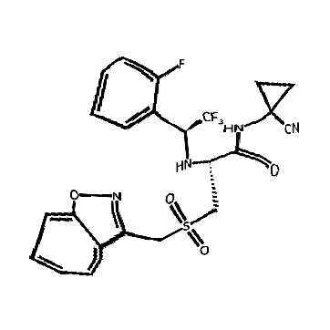 N#CC1(NC(=O)[C@H](CS(=O)(=O)Cc2noc3ccccc23)N[C@@H](c2ccccc2F)C(F)(F)F)CC1